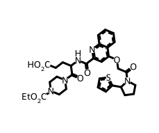 CCOC(=O)N1CCN(C(=O)C(CCC(=O)O)NC(=O)c2cc(OCC(=O)N3CCCC3c3cccs3)c3ccccc3n2)CC1